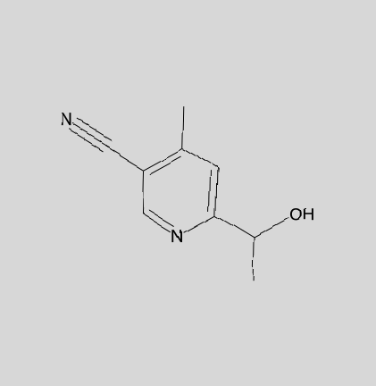 Cc1cc(C(C)O)ncc1C#N